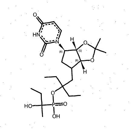 CCC(CC)(CC1C[C@@H](n2ccc(=O)[nH]c2=O)[C@@H]2OC(C)(C)O[C@H]12)OP(=O)(O)C(C)(O)CC